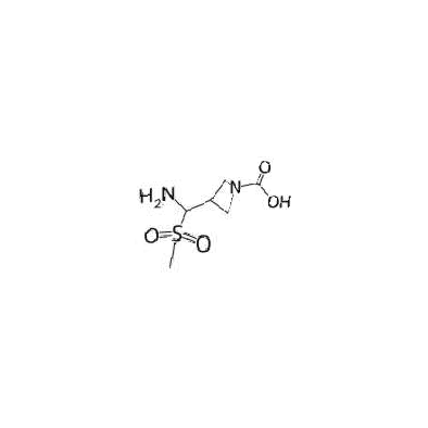 CS(=O)(=O)C(N)C1CN(C(=O)O)C1